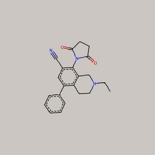 CCN1CCc2c(-c3ccccc3)cc(C#N)c(N3C(=O)CCC3=O)c2C1